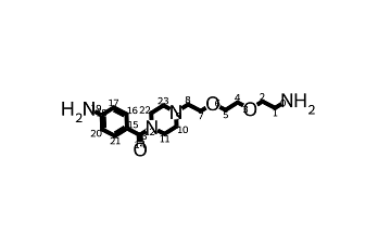 NCCOCCOCCN1CCN(C(=O)c2ccc(N)cc2)CC1